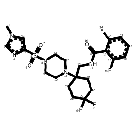 Cn1cnc(S(=O)(=O)N2CCN(C3(CNC(=O)c4c(F)cccc4F)CCC(F)(F)CC3)CC2)c1